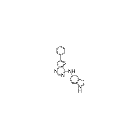 c1ccc(-c2cc3ncnc(Nc4ccc5[nH]ccc5c4)c3s2)cc1